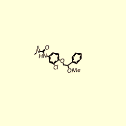 COC(COc1ccc(NC(=O)N(C)C)cc1Cl)c1ccccc1